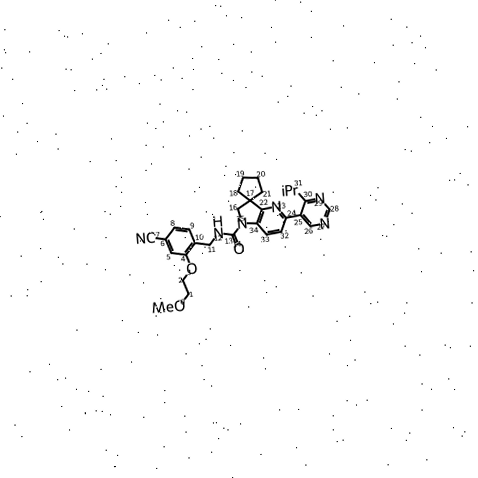 COCCOc1cc(C#N)ccc1CNC(=O)N1CC2(CCCC2)c2nc(-c3cncnc3C(C)C)ccc21